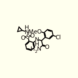 COc1ccc(Cl)cc1C(Nc1ccccc1S(=O)(=O)NC1CC1)C(N)=O